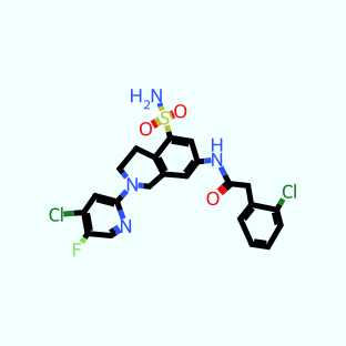 NS(=O)(=O)c1cc(NC(=O)Cc2ccccc2Cl)cc2c1CCN(c1cc(Cl)c(F)cn1)C2